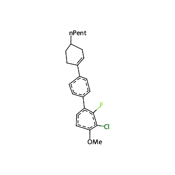 CCCCCC1CC=C(c2ccc(-c3ccc(OC)c(Cl)c3F)cc2)CC1